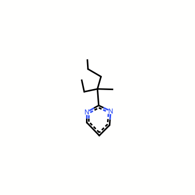 CCCC(C)(CC)c1ncccn1